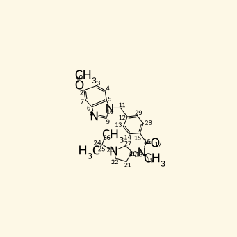 COc1ccc2c(c1)ncn2Cc1ccc(C(=O)N(C)[C@@H]2CCN(C(C)C)C2)cc1